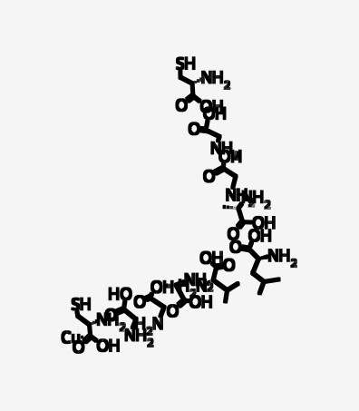 CC(C)C[C@H](N)C(=O)O.CC(C)[C@H](N)C(=O)O.C[C@H](N)C(=O)O.C[C@H](N)C(=O)O.NCC(=O)O.NCC(=O)O.NCC(=O)O.NCC(=O)O.N[C@@H](CS)C(=O)O.N[C@@H](CS)C(=O)O.[Cu]